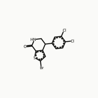 O=C1NCC(c2ccc(Cl)c(Cl)c2)c2cc(Br)sc21